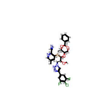 CO[C@@H](Cn1cc(-c2cc(F)c(Cl)c(F)c2)nn1)C(OC1COC(c2ccccc2)O[C@@H]1C)Sc1cc(C)cnc1C#N